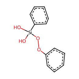 O[Si](O)(OOc1ccccc1)c1ccccc1